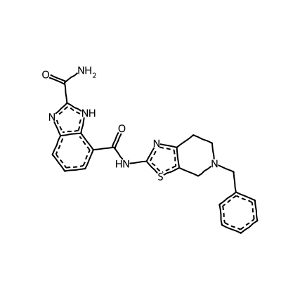 NC(=O)c1nc2cccc(C(=O)Nc3nc4c(s3)CN(Cc3ccccc3)CC4)c2[nH]1